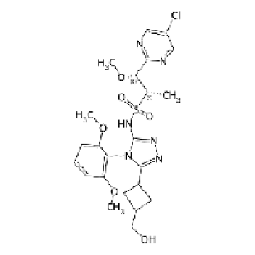 COc1cccc(OC)c1-n1c(NS(=O)(=O)[C@@H](C)[C@H](OC)c2ncc(Cl)cn2)nnc1C1CC(CO)C1